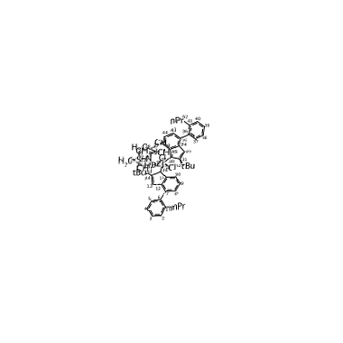 CCCc1ccccc1-c1cccc2c1C=C(C(C)(C)C)[CH]2[Zr]([Cl])([Cl])([BH]N([Si](C)(C)C)[Si](C)(C)C)[CH]1C(C(C)(C)C)=Cc2c(-c3ccccc3CCC)cccc21